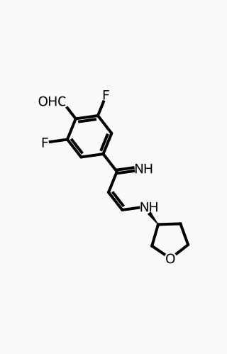 N=C(/C=C\N[C@H]1CCOC1)c1cc(F)c(C=O)c(F)c1